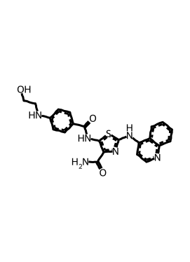 NC(=O)c1nc(Nc2ccnc3ccccc23)sc1NC(=O)c1ccc(NCCO)cc1